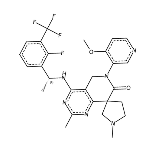 COc1ccncc1N1Cc2c(N[C@H](C)c3cccc(C(F)(F)F)c3F)nc(C)nc2C2(CCN(C)C2)C1=O